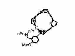 CCCN(CCC)Cc1cc(-c2cc3cc4nc(cc5ccc(cc6nc(cc2[nH]3)C=C6)[nH]5)C=C4)ccc1OC